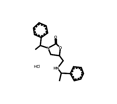 CC(NCC1CN(C(C)c2ccccc2)C(=O)O1)c1ccccc1.Cl